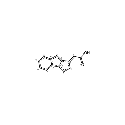 O=C(O)C=c1ccn2c1cc1ccccc12